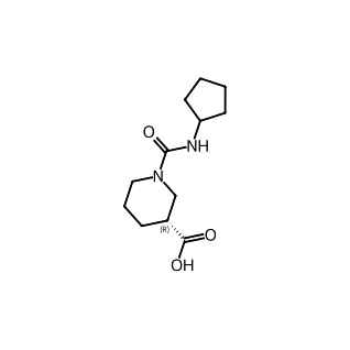 O=C(O)[C@@H]1CCCN(C(=O)NC2CCCC2)C1